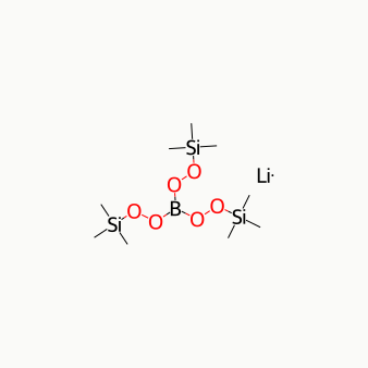 C[Si](C)(C)OOB(OO[Si](C)(C)C)OO[Si](C)(C)C.[Li]